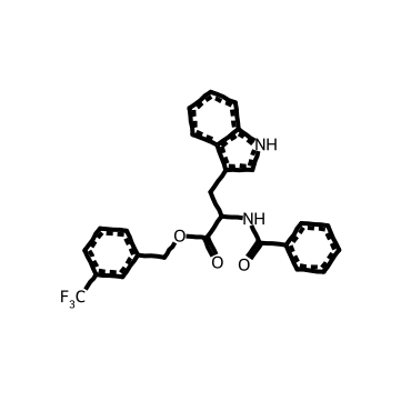 O=C(NC(Cc1c[nH]c2ccccc12)C(=O)OCc1cccc(C(F)(F)F)c1)c1ccccc1